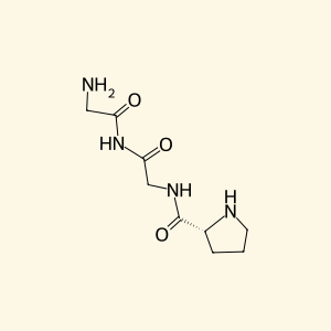 NCC(=O)NC(=O)CNC(=O)[C@H]1CCCN1